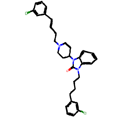 O=c1n(CCCCc2cccc(Cl)c2)c2ccccc2n1C1CCN(CCCCc2cccc(Cl)c2)CC1